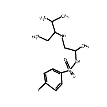 CC(CNC(CN)C(C)C)NS(=O)(=O)c1ccc(I)cc1